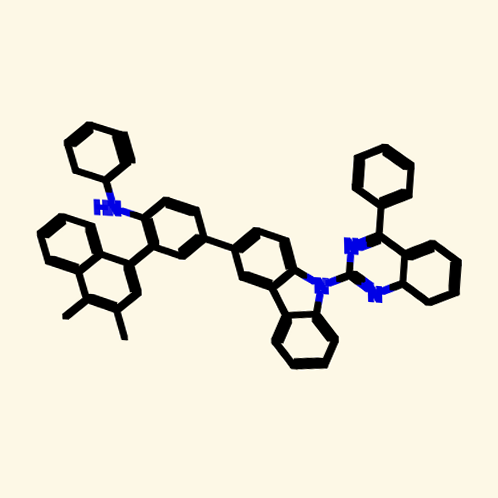 Cc1cc(-c2cc(-c3ccc4c(c3)c3ccccc3n4C3=NC4CC=CC=C4C(c4ccccc4)=N3)ccc2NC2C#CC=CC2)c2ccccc2c1C